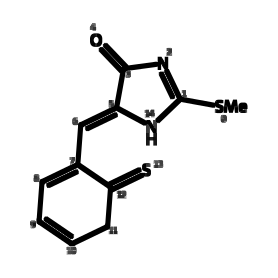 CSC1=NC(=O)C(=CC2=CC=CCC2=S)N1